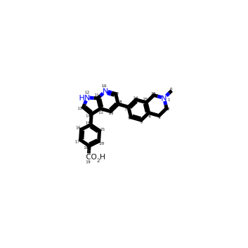 CN1CCc2ccc(-c3cnc4[nH]cc(-c5ccc(C(=O)O)cc5)c4c3)cc2C1